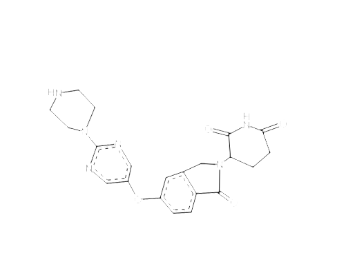 O=C1CCC(N2Cc3cc(Oc4cnc(N5CCNCC5)nc4)ccc3C2=O)C(=O)N1